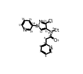 CCN(C(=O)Cc1ccccn1)c1cn(-c2cccnc2)nc1Cl